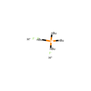 CCCC[P+](CCCC)(CCCC)CCCC.[F-].[F-].[F-].[H+].[H+]